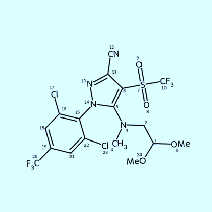 COC(CN(C)c1c(S(=O)(=O)C(F)(F)F)c(C#N)nn1-c1c(Cl)cc(C(F)(F)F)cc1Cl)OC